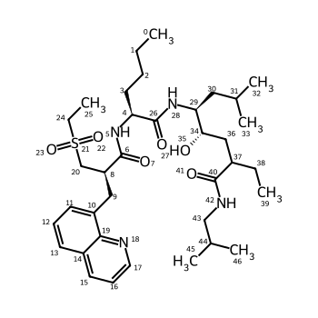 CCCC[C@H](NC(=O)[C@@H](Cc1cccc2cccnc12)CS(=O)(=O)CC)C(=O)N[C@@H](CC(C)C)[C@@H](O)CC(CC)C(=O)NCC(C)C